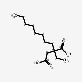 CCCCCCCCC(CC)(CC(=O)O)C(=O)O